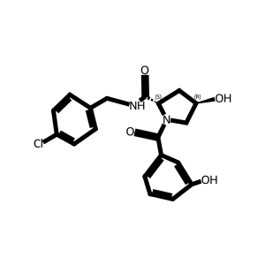 O=C(NCc1ccc(Cl)cc1)[C@@H]1C[C@@H](O)CN1C(=O)c1cccc(O)c1